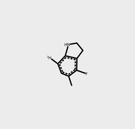 [2H]c1cc(C)c(F)c2c1NCC2